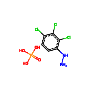 NNc1ccc(Cl)c(Cl)c1Cl.O=P(O)(O)O